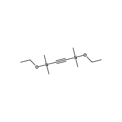 CCO[Si](C)(C)C#C[Si](C)(C)OCC